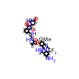 COc1cc2nc(C)nc(N[C@H](C)c3cc(N)cc(C(F)(F)F)c3)c2cc1OCC1(C(=O)NCCNc2cccc3c2C(=O)N(C2CCC(=O)NC2=O)C3=O)CC1